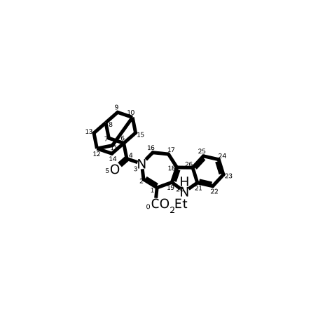 CCOC(=O)C1=CN(C(=O)C23CC4CC(CC(C4)C2)C3)CCc2c1[nH]c1ccccc21